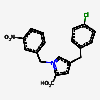 O=C(O)c1cc(Cc2ccc(Cl)cc2)cn1Cc1cccc([N+](=O)[O-])c1